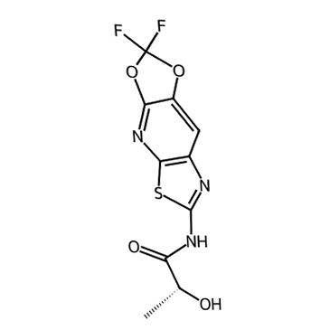 C[C@@H](O)C(=O)Nc1nc2cc3c(nc2s1)OC(F)(F)O3